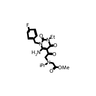 CCn1c(=O)c(C(=O)CN(CC(=O)OC)C(C)C)c(N)n(Cc2ccc(F)cc2)c1=O